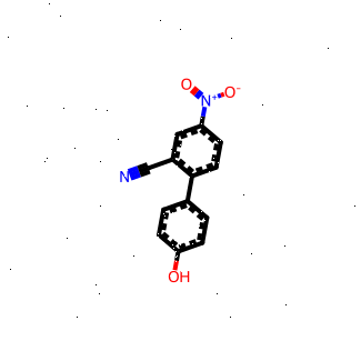 N#Cc1cc([N+](=O)[O-])ccc1-c1ccc(O)cc1